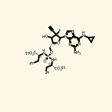 C#CC1(F)C(O)[C@@H](COP(=O)(N[C@@H](CC(C)C)C(=O)OCC)N[C@H](CC(C)C)C(=O)OCC)OC1n1cnc2c(NC3CC3)nc(N)nc21